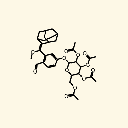 COC(=C1C2CC3CC(C2)CC1C3)c1cc(O[C@@H]2OC(COC(C)=O)[C@H](OC(C)=O)C(OC(C)=O)C2OC(C)=O)ccc1C=O